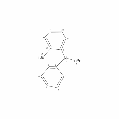 CCCN(c1ccccc1)c1ccccc1C(C)CC